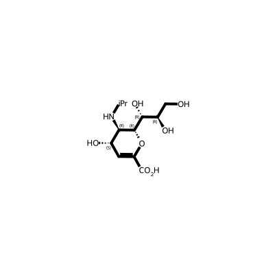 CC(C)N[C@H]1[C@H]([C@H](O)[C@H](O)CO)OC(C(=O)O)=C[C@@H]1O